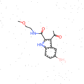 Bc1ccc2[nH]c(C(=O)NCCOC)c(C(C)=O)c2c1